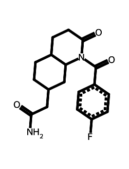 NC(=O)CC1CCC2CCC(=O)N(C(=O)c3ccc(F)cc3)C2C1